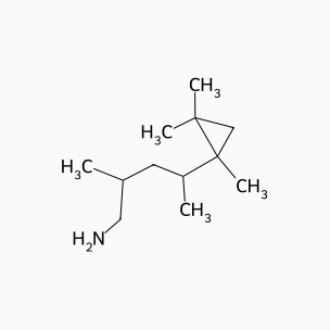 CC(CN)CC(C)C1(C)CC1(C)C